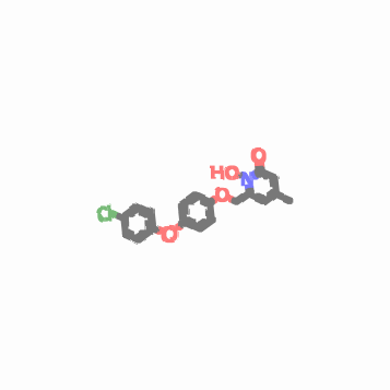 Cc1cc(COc2ccc(Oc3ccc(Cl)cc3)cc2)n(O)c(=O)c1